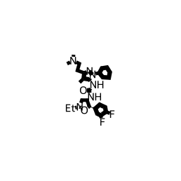 CCN1C[C@@H](NC(=O)Nc2c(C)c(CCN(C)C)nn2-c2ccccc2)[C@H](c2ccc(F)c(F)c2)O1